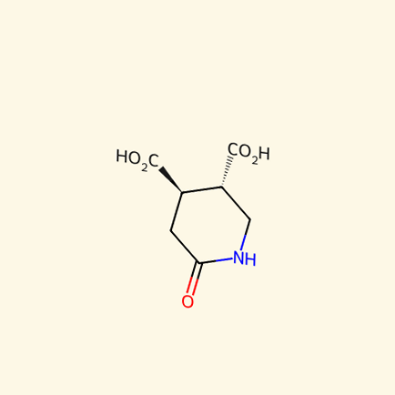 O=C1C[C@@H](C(=O)O)[C@H](C(=O)O)CN1